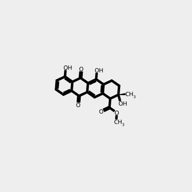 COC(=O)C1c2cc3c(c(O)c2CC[C@]1(C)O)C(=O)c1c(O)cccc1C3=O